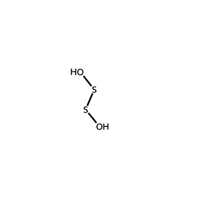 OSSO